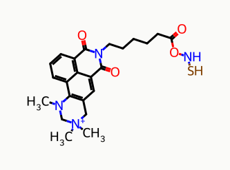 CN1C[N+](C)(C)Cc2cc3c4c(cccc4c21)C(=O)N(CCCCCC(=O)ONS)C3=O